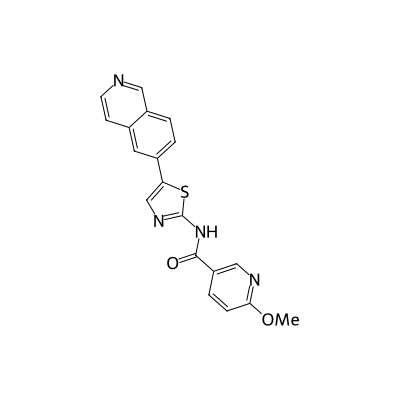 COc1ccc(C(=O)Nc2ncc(-c3ccc4cnccc4c3)s2)cn1